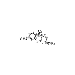 COc1ccc2c(c1)Cc1cc(OC)ccc1C2=O